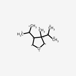 CC(C)C1COCC1(C)C(C)C